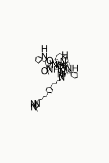 CC(=O)N[C@@H](Cc1c[nH]c2ccccc12)C(=O)N[C@H]1CCCC[C@H]2CC[C@@H](C(=O)N[C@@H](c3ccccc3)c3cn(CCCCc4ccc(CCCCn5cc(C)nn5)cc4)nn3)N2C1=O